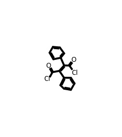 O=C(Cl)C(=C(C(=O)Cl)c1ccccc1)c1ccccc1